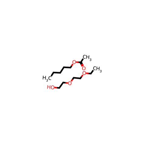 CCCCCOC(C)=O.CCOCCOCCO